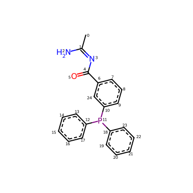 C/C(N)=N/C(=O)c1cccc(P(c2ccccc2)c2ccccc2)c1